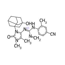 C=N/C(=N\c1c(C)n(C)c(=O)n1C12CC3CC(CC(O)(C3)C1)C2)Nc1ccc(C#N)cc1C